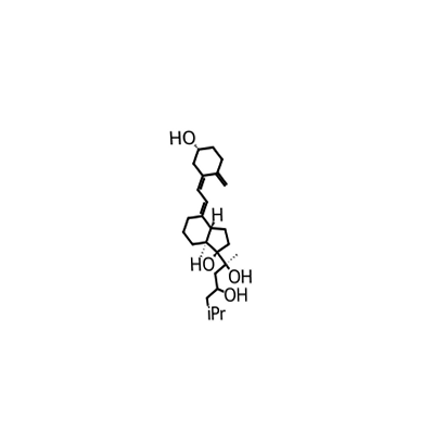 C=C1CC[C@@H](O)C/C1=C/C=C1\CCC[C@@]2(C)[C@H]1CC[C@]2(O)[C@@](C)(O)CC(O)CC(C)C